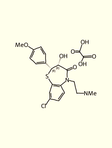 CNCCN1C(=O)[C@@H](O)[C@@H](c2ccc(OC)cc2)Sc2cc(Cl)ccc21.O=C(O)C(=O)O